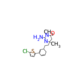 CN1C(=O)CC(C)(CCC2C=C(c3ccc(Cl)s3)C=CC2)N=C1N